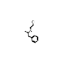 CC(Cc1ccccc1)SCCCl